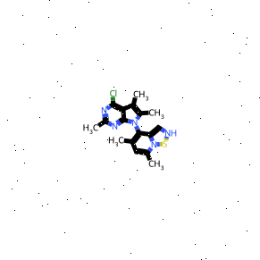 CC1=CC(C)=C(n2c(C)c(C)c3c(Cl)nc(C)nc32)C2=CNSN12